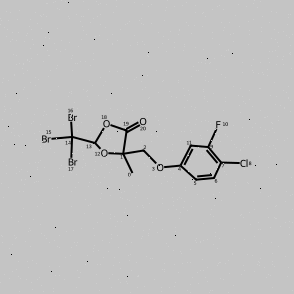 CC1(COc2ccc(Cl)c(F)c2)OC(C(Br)(Br)Br)OC1=O